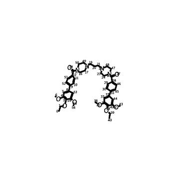 CCOc1c(OC)cc(-c2ccc(C(=O)N3CCN(CCCN4CCN(C(=O)c5ccc(-c6cc(OC)c(OCC)c(OC)c6)cc5)CC4)CC3)cc2)cc1OC